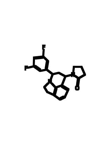 O=C1CCCN1C1CC(c2cc(F)cc(F)c2)N2CCc3cccc1c32